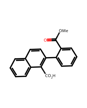 COC(=O)c1ccccc1-c1ccc2ccccc2c1C(=O)O